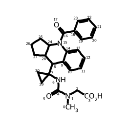 CN(CC(=O)O)C(=O)NC1(C2c3ccccc3N(C(=O)c3ccccc3)C3CCCC32)CC1